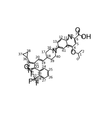 CC(C)Oc1cc(C(=O)O)nc2ccc(N3CCC(/C=C/c4c(-c5ccccc5C(F)(F)F)noc4C4CC4)CC3)cc12